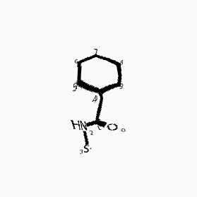 O=C(N[S])C1CCCCC1